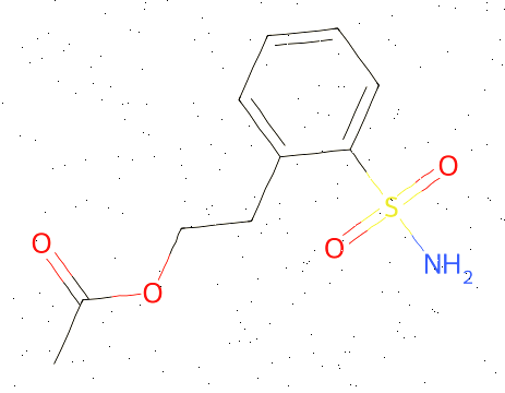 CC(=O)OCCc1ccccc1S(N)(=O)=O